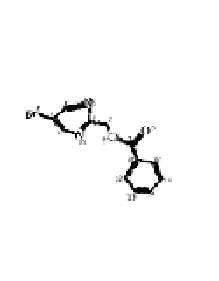 O=C(OCc1ncc(Br)cn1)c1ccccc1